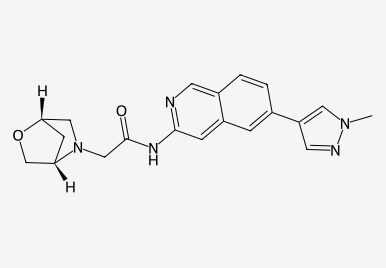 Cn1cc(-c2ccc3cnc(NC(=O)CN4C[C@@H]5C[C@H]4CO5)cc3c2)cn1